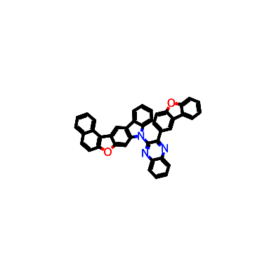 c1ccc2c(c1)ccc1oc3cc4c(cc3c12)c1ccccc1n4-c1nc2ccccc2nc1-c1ccc2oc3ccccc3c2c1